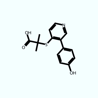 CC(C)(Sc1ccncc1-c1ccc(O)cc1)C(=O)O